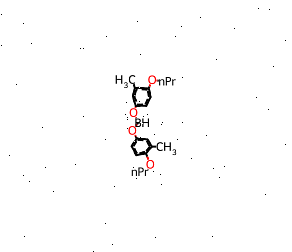 CCCOc1ccc(OBOc2ccc(OCCC)c(C)c2)cc1C